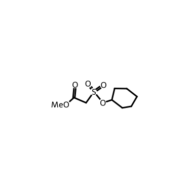 COC(=O)CS(=O)(=O)OC1CCCCC1